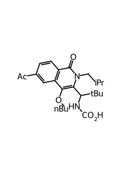 CCCCOc1c(C(NC(=O)O)C(C)(C)C)n(CC(C)C)c(=O)c2ccc(C(C)=O)cc12